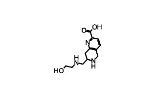 O=C(O)c1ccc2c(n1)CC(CNCCO)NC2